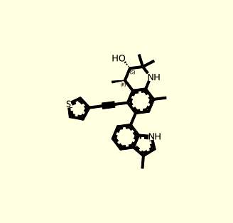 Cc1cc(-c2cccc3c(C)c[nH]c23)c(C#Cc2ccsc2)c2c1NC(C)(C)[C@@H](O)[C@@H]2C